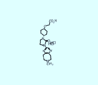 CN1CCc2ncc(N3CCN([C@H]4CC[C@H](OCC(=O)O)CC4)C3=O)nc2CC1.Cl.Cl